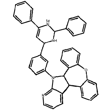 C1=C(c2ccccc2)NC(c2ccccc2)NC1c1cccc(N2c3ncccc3C3c4ccccc4Oc4ccccc4C32)c1